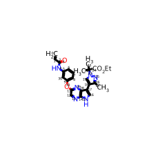 C=CC(=O)Nc1cccc(Oc2cnc3[nH]cc(-c4cn(C(C)(C)C(=O)OCC)nc4C)c3n2)c1